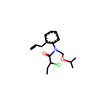 C=CCc1ccccc1N(COC(C)C)C(=O)C(Cl)CC